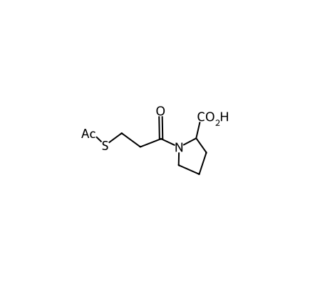 CC(=O)SCCC(=O)N1CCCC1C(=O)O